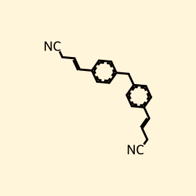 N#CCC=Cc1ccc(Cc2ccc(C=CCC#N)cc2)cc1